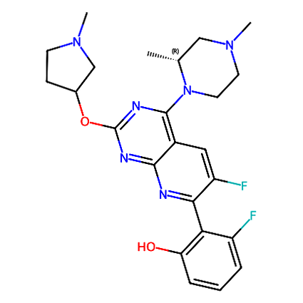 C[C@@H]1CN(C)CCN1c1nc(OC2CCN(C)C2)nc2nc(-c3c(O)cccc3F)c(F)cc12